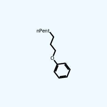 [CH2]CCCCCCCOc1[c]cccc1